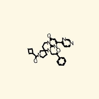 O=C(CN1c2nc(-c3ccncn3)cc(=O)n2CCC12CCN(C(=O)C1CCC1)C2)c1ccccc1